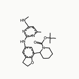 CNc1cc(C)nc(Nc2cc3c(c(C4CCCCN4C(=O)OC(C)(C)C)c2)OCC3)n1